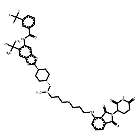 CN(CCCOCCCNc1cccc2c1C(=O)N(C1CCC(=O)NC1=O)C2=O)C[C@H]1CC[C@H](c2nc3cc(C(C)(C)O)c(NC(=O)c4cccc(C(F)(F)F)n4)cc3s2)CC1